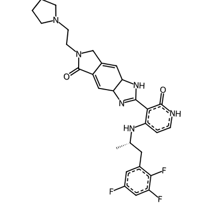 C[C@@H](Cc1cc(F)cc(F)c1F)Nc1cc[nH]c(=O)c1C1=NC2C=C3C(=O)N(CCN4CCCC4)CC3=CC2N1